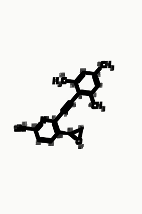 Cc1cc(C)c(C#Cc2nc(C(C)(C)C)ccc2[C@H]2CO2)c(C)c1